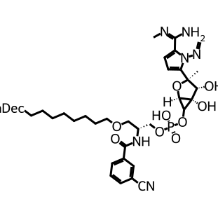 C=Nn1c(/C(N)=N\C)ccc1[C@]1(C)O[C@@H]2C(OP(=O)(O)OC[C@@H](COCCCCCCCCCCCCCCCCCC)NC(=O)c3cccc(C#N)c3)[C@]2(O)[C@H]1O